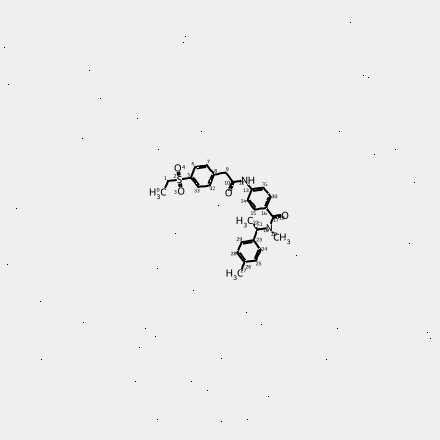 CCS(=O)(=O)c1ccc(CC(=O)Nc2ccc(C(=O)N(C)C(C)c3ccc(C)cc3)cc2)cc1